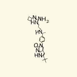 C[C@H](NCCCN/C(N)=N\C1CCC1)c1ccc(-n2cc3cc(C(C)(C)C)[nH]c3nc2=O)cc1